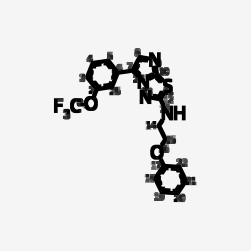 FC(F)(F)Oc1cccc(-c2cnc3sc(NCCOc4ccccc4)nn23)c1